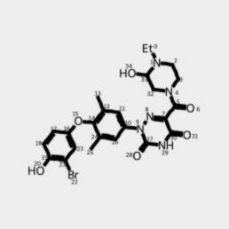 CCN1CCN(C(=O)c2nn(-c3cc(C)c(Oc4ccc(O)c(Br)c4)c(C)c3)c(=O)[nH]c2=O)CC1O